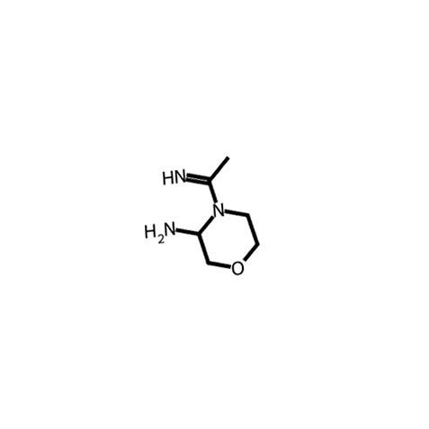 CC(=N)N1CCOCC1N